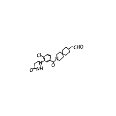 O=CCC1CCC2(CC1)CCN(C(=O)c1ccc(Cl)c(N3CCC(=O)NC3)c1)CC2